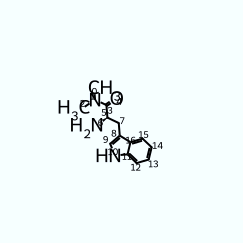 CN(C)C(=O)[C@H](N)Cc1c[nH]c2ccccc12